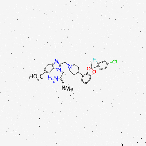 CN/C=C(\N)Cn1c(CN2CCC(c3cccc4c3OC(C)(c3ccc(Cl)cc3F)O4)CC2)nc2ccc(C(=O)O)cc21